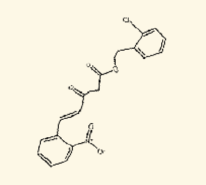 O=C(C=Cc1ccccc1[N+](=O)[O-])CC(=O)OCc1ccccc1Cl